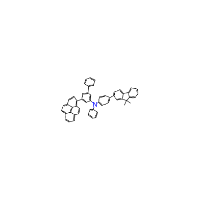 CC1(C)c2ccccc2-c2ccc(-c3ccc(N(c4ccccc4)c4cc(-c5ccccc5)cc(-c5ccc6ccc7cccc8ccc5c6c78)c4)cc3)cc21